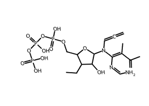 C=C=CN(C(/N=C\N)=C(\C)C(=C)C)C1OC(COP(=O)(O)OP(=O)(O)OP(=O)(O)O)C(CC)C1O